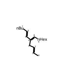 CC=CCC(C=CCCCC)=CCCCCCC